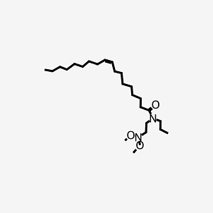 CCCCCCCC/C=C\CCCCCCCC(=O)N(CCC)CCN(OC)OC